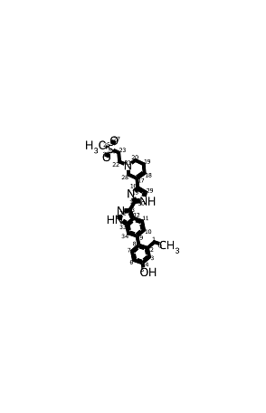 CCc1cc(O)ccc1-c1ccc2c(-c3nc(C4=CCCN(CCS(C)(=O)=O)C4)c[nH]3)n[nH]c2c1